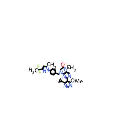 COc1ncnc(C2CC2)c1-c1ncc2c(n1)N(Cc1ccc(-n3nc(C(C)(F)F)cc3C)cc1)CC(=O)N2C